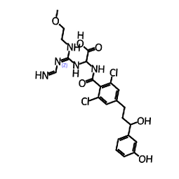 COCCN/C(=N/C=N)NC(NC(=O)c1c(Cl)cc(CCC(O)c2cccc(O)c2)cc1Cl)C(=O)O